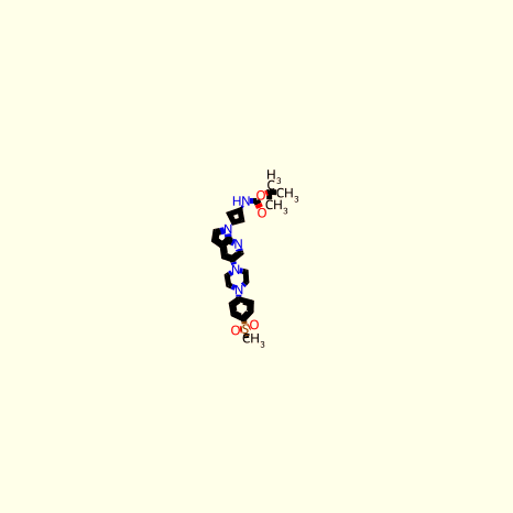 CC(C)(C)OC(=O)N[C@H]1C[C@H](n2ccc3cc(N4CCN(c5ccc(S(C)(=O)=O)cc5)CC4)cnc32)C1